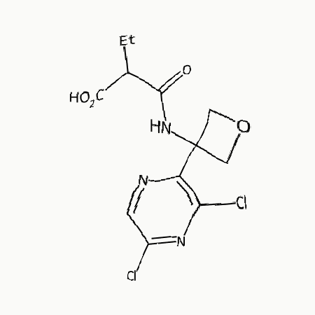 CCC(C(=O)O)C(=O)NC1(c2ncc(Cl)nc2Cl)COC1